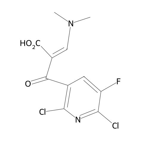 CN(C)C=C(C(=O)O)C(=O)c1cc(F)c(Cl)nc1Cl